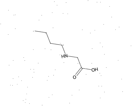 [CH2]CC[C]NCC(=O)O